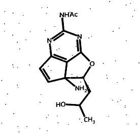 CC(=O)Nc1nc2c3c(n1)O[C@@H](CC(C)O)C3(N)C=C2